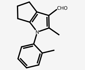 Cc1ccccc1-n1c(C)c(C=O)c2c1CCC2